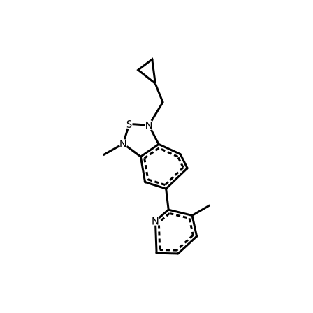 Cc1cccnc1-c1ccc2c(c1)N(C)SN2CC1CC1